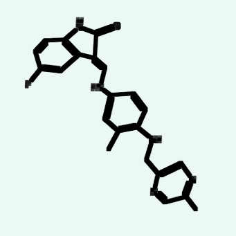 Cc1cnc(CNc2ccc(N/C=C3/C(=O)Nc4ccc(F)cc43)cc2C)cn1